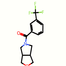 O=C(c1cccc(C(F)(F)F)c1)N1CC2COCC2C1